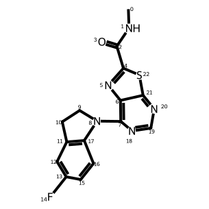 CNC(=O)c1nc2c(N3CCc4cc(F)ccc43)ncnc2s1